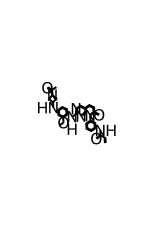 C=CC(=O)Nc1cccc(-n2c(=O)ccc3cnc(Nc4ccc(NC5CN(C(C)=O)C5)cc4OC)nc32)c1